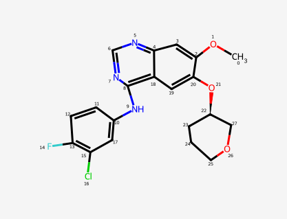 COc1cc2ncnc(Nc3ccc(F)c(Cl)c3)c2cc1O[C@@H]1CCCOC1